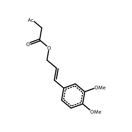 COc1ccc(C=CCOC(=O)CC(C)=O)cc1OC